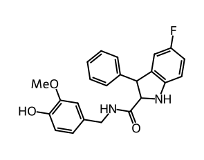 COc1cc(CNC(=O)C2Nc3ccc(F)cc3C2c2ccccc2)ccc1O